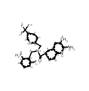 Cc1cc2cc(C(=O)N(Cc3ccc(C(F)(F)F)cn3)Cc3c(F)cccc3P)ccc2nc1N